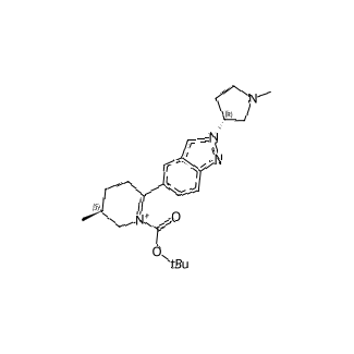 C[C@H]1CCC(c2ccc3nn([C@@H]4CCN(C)C4)cc3c2)=[N+](C(=O)OC(C)(C)C)C1